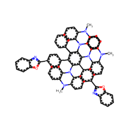 CN1c2ccccc2N(c2c(-c3ccc(-c4nc5ccccc5o4)cc3)c(-c3ccccc3)c(N3c4ccccc4N(C)c4ccccc43)c(N3c4ccccc4N(C)c4ccccc43)c2-c2ccc(-c3nc4ccccc4o3)cc2)c2ccccc21